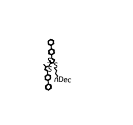 CCCCCCCCCCCCCCSc1cc(-c2ccc(-c3ccccc3)cc2)sc1-c1sc(-c2ccc(-c3ccccc3)cc2)cc1C